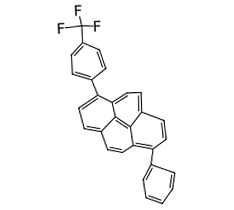 FC(F)(F)c1ccc(-c2ccc3ccc4c(-c5ccccc5)ccc5ccc2c3c54)cc1